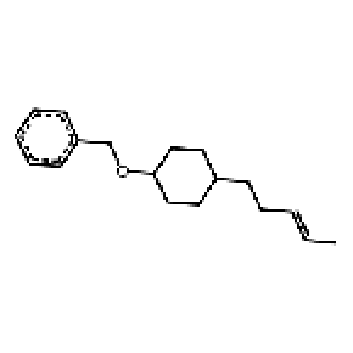 C/C=C/CCC1CCC(OCc2ccccc2)CC1